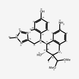 COC(OC)[C@@]1(C)Oc2ccc(N)cc2[C@H](N(Cc2nnn(C)n2)c2ccc(O)cc2C)[C@H]1O